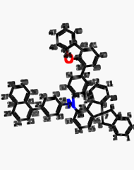 c1ccc2c(c1)CC1(C2)c2ccccc2-c2c(N(c3ccc(-c4cccc5ccccc45)cc3)c3ccc(-c4cccc5c4oc4ccccc45)cc3)cccc21